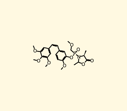 COCP(=O)(Oc1cc(/C=C\c2cc(OC)c(OC)c(OC)c2)ccc1OC)N1C(C)OC(=O)[C@@H]1C